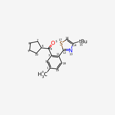 Cc1[c]c(C(=O)C2CCCC2)c(-c2nc(C(C)(C)C)cs2)cc1